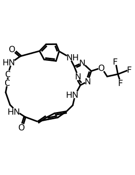 O=C1NCCCCNC(=O)c2ccc(cc2)Nc2nc(nc(OCC(F)(F)F)n2)NCc2ccc1cc2